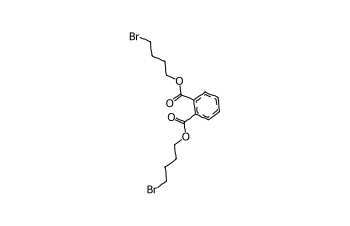 O=C(OCCCCBr)c1ccccc1C(=O)OCCCCBr